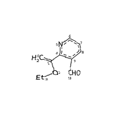 C=C(OCC)c1ncccc1C=O